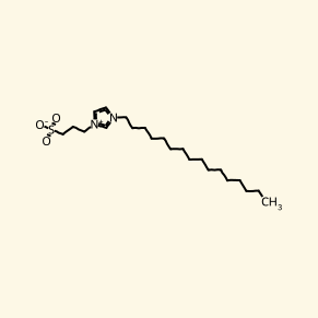 CCCCCCCCCCCCCCCCn1cc[n+](CCCS(=O)(=O)[O-])c1